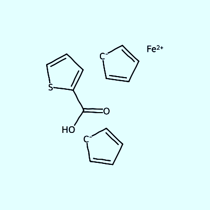 O=C(O)c1cccs1.[Fe+2].c1cc[cH-]c1.c1cc[cH-]c1